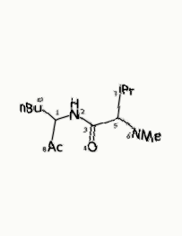 CCCCC(NC(=O)C(NC)C(C)C)C(C)=O